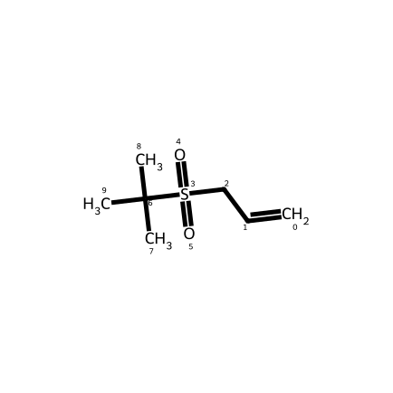 C=CCS(=O)(=O)C(C)(C)C